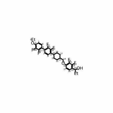 CCOc1ccc(-c2ccc(C3CCC(COc4ccc(C(O)CC)c(F)c4F)CC3)c(F)c2F)c(F)c1F